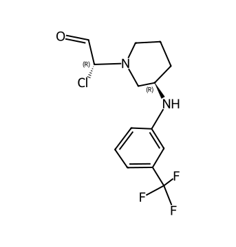 O=C[C@@H](Cl)N1CCC[C@@H](Nc2cccc(C(F)(F)F)c2)C1